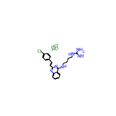 Cl.Cl.N=C(N)NCCCCNc1nc(C=Cc2ccc(Cl)cc2)nc2ccccc12